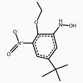 CCOc1c(NO)cc(C(C)(C)C)cc1[N+](=O)[O-]